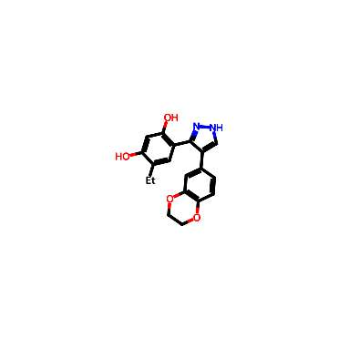 CCc1cc(-c2n[nH]cc2-c2ccc3c(c2)OCCO3)c(O)cc1O